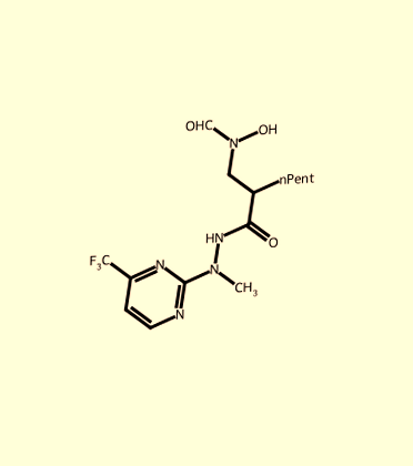 CCCCCC(CN(O)C=O)C(=O)NN(C)c1nccc(C(F)(F)F)n1